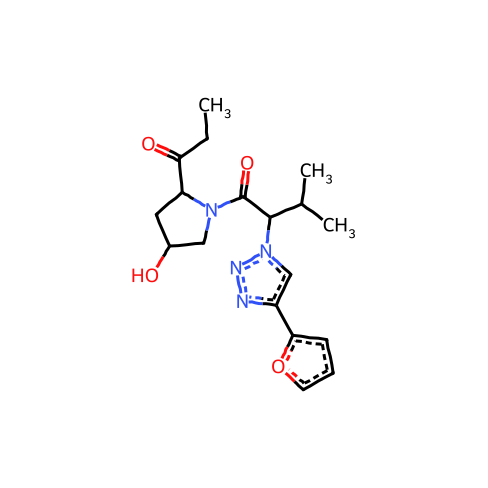 CCC(=O)C1CC(O)CN1C(=O)C(C(C)C)n1cc(-c2ccco2)nn1